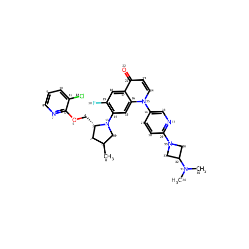 CC1C[C@H](COc2ncccc2Cl)N(c2cc3c(cc2F)c(=O)ccn3-c2ccc(N3CC(N(C)C)C3)nc2)C1